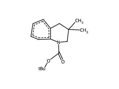 CC1(C)Cc2ccccc2N(C(=O)OC(C)(C)C)C1